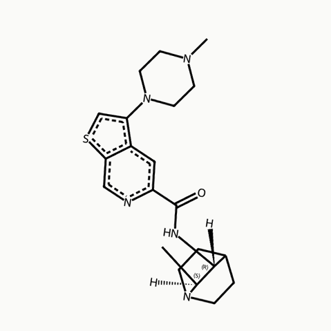 C[C@H]1[C@H](NC(=O)c2cc3c(N4CCN(C)CC4)csc3cn2)C2CCN1CC2